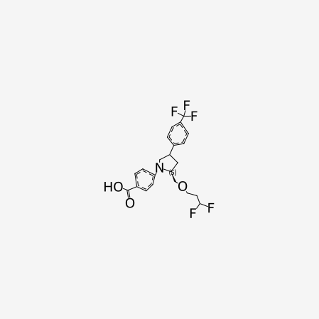 O=C(O)c1ccc(N2CC(c3ccc(C(F)(F)F)cc3)C[C@H]2COCCC(F)F)cc1